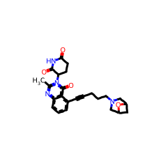 Cc1nc2cccc(C#CCCCN3CC4CC(C3)O4)c2c(=O)n1C1CCC(=O)NC1=O